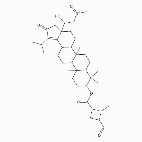 CC(C)C1=C2C3CCC4C(C)(CCC5C(C)(C)C(OC(=O)C6CC(C=O)C6C)CCC54C)C3CCC2(C(O)C[N+](=O)[O-])CC1=O